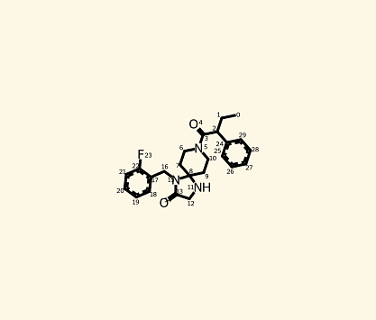 CCC(C(=O)N1CCC2(CC1)NCC(=O)N2Cc1ccccc1F)c1ccccc1